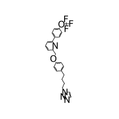 FC(F)(F)Oc1ccc(-c2cccc(COc3ccc(CCCCn4ccnn4)cc3)n2)cc1